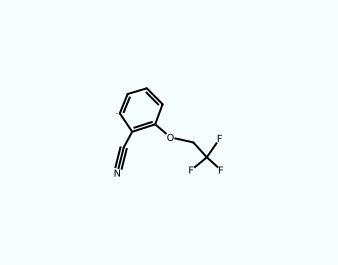 N#Cc1[c]cccc1OCC(F)(F)F